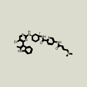 CCc1cnc(N[C@@H]2CCC[C@](C)(NC(=O)c3ccc(NC(=O)/C=C/CN(C)C)cn3)C2)nc1-c1c(C)[nH]c2ccccc12